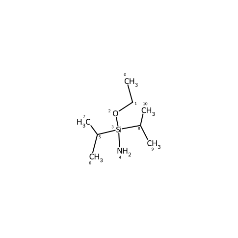 CCO[Si](N)(C(C)C)C(C)C